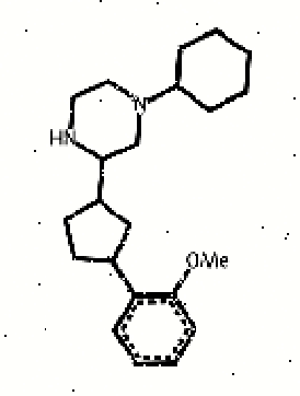 COc1ccccc1C1CCC(C2CN(C3CCCCC3)CCN2)C1